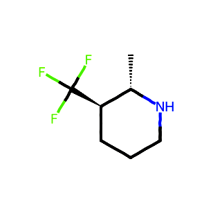 C[C@@H]1NCCC[C@H]1C(F)(F)F